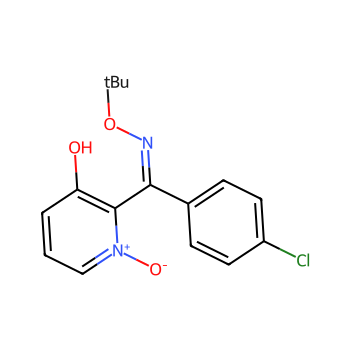 CC(C)(C)O/N=C(/c1ccc(Cl)cc1)c1c(O)ccc[n+]1[O-]